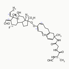 C=C/C=C(\C=C/CCC1=CC=CC(C)(NC(=O)CNC(=O)[C@H](C)NC=O)C1)OOC1(C(=O)O)CCC2C3C[C@H](F)/C(=C\C=O)C(C)(/C=C\C)[C@@]3(F)C(O)CC21C